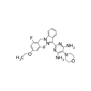 CCOc1cc(F)c(Cn2nc(-c3nc(N)c(N4CCOCC4)c(N)n3)c3ccccc32)c(F)c1